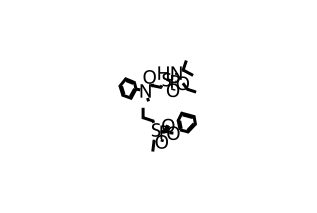 CCCSP(=O)(OCC)Oc1ccccc1.CCOP(=O)(NC(C)C)SCC(=O)N(C)c1ccccc1